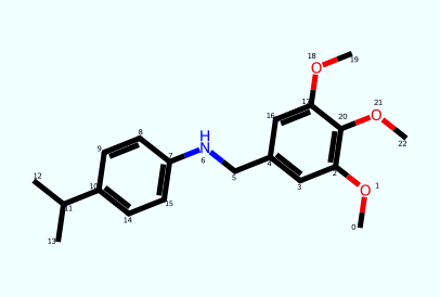 COc1cc(CNc2ccc(C(C)C)cc2)cc(OC)c1OC